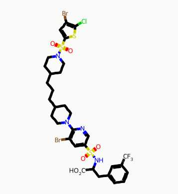 O=C(O)C(Cc1cccc(C(F)(F)F)c1)NS(=O)(=O)c1cnc(N2CCC(CCCC3CCN(S(=O)(=O)c4cc(Br)c(Cl)s4)CC3)CC2)c(Br)c1